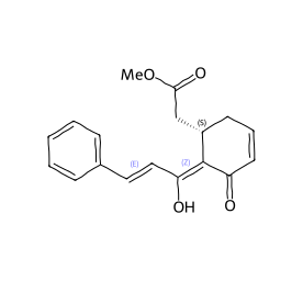 COC(=O)C[C@@H]1CC=CC(=O)/C1=C(O)/C=C/c1ccccc1